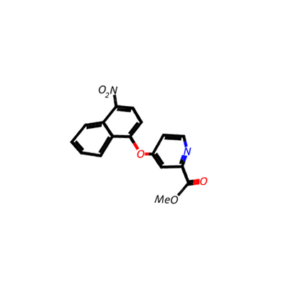 COC(=O)c1cc(Oc2ccc([N+](=O)[O-])c3ccccc23)ccn1